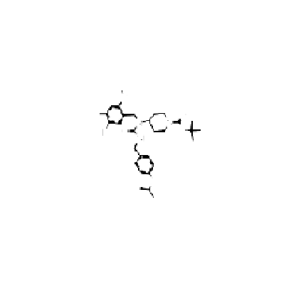 COc1cc(F)c(F)cc1CN(C(=O)NCc1ccc(OC(C)C)cc1)C1CCN(C(=O)OC(C)(C)C)CC1